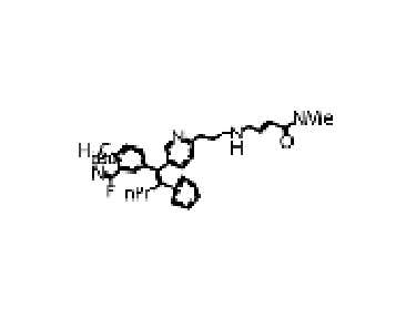 CCC/C(=C(/c1ccc(CCCNC/C=C/C(=O)NC)nc1)c1ccc(C)c(/C(F)=N\C(C)CC)c1)c1ccccc1